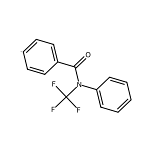 O=C(c1cc[c]cc1)N(c1ccccc1)C(F)(F)F